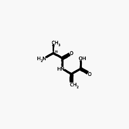 C=C(NC(=O)[C@H](C)N)C(=O)O